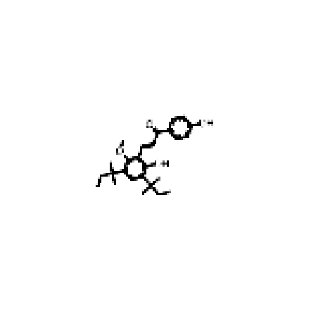 CCC(C)(C)c1cc(C(C)(C)CC)c(OC)c(/C=C/C(=O)c2ccc(O)cc2)c1O